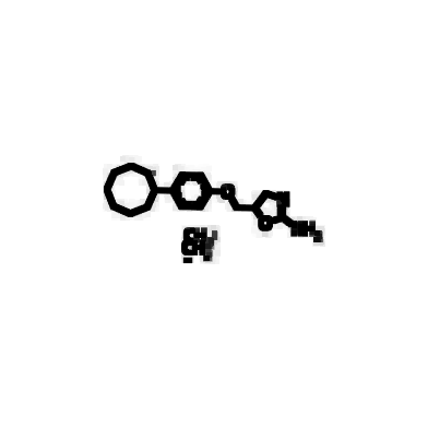 NC1=NCC(COc2ccc(C3[CH]CCCCCC3)cc2)O1.[CH2].[CH2]